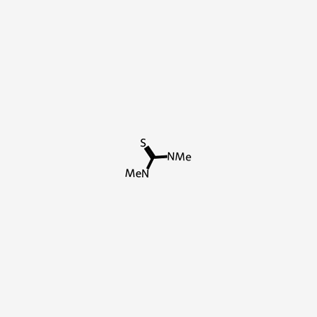 [CH2]NC(=S)NC